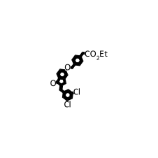 CCOC(=O)Cc1ccc(COc2ccc3c(c2)C/C(=C\c2cc(Cl)cc(Cl)c2)C3=O)cc1